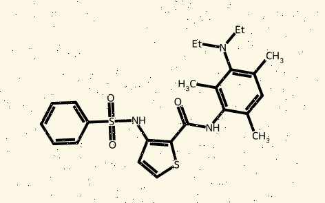 CCN(CC)c1c(C)cc(C)c(NC(=O)c2sccc2NS(=O)(=O)c2ccccc2)c1C